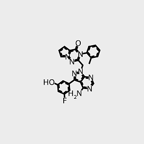 Cc1ccccc1-n1c(Cn2nc(-c3cc(O)cc(F)c3)c3c(N)ncnc32)nn2cccc2c1=O